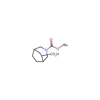 CC(C)(C)OC(=O)N1CC2CCC(C1)C(C(=O)O)C2